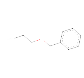 CCCCCCCOCc1ccccc1